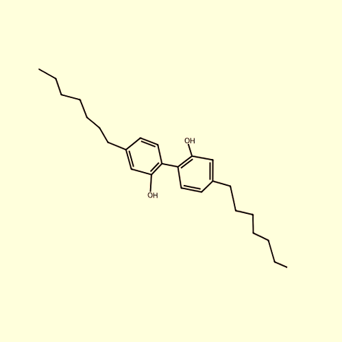 CCCCCCCc1ccc(-c2ccc(CCCCCCC)cc2O)c(O)c1